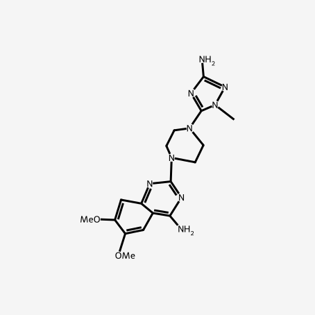 COc1cc2nc(N3CCN(c4nc(N)nn4C)CC3)nc(N)c2cc1OC